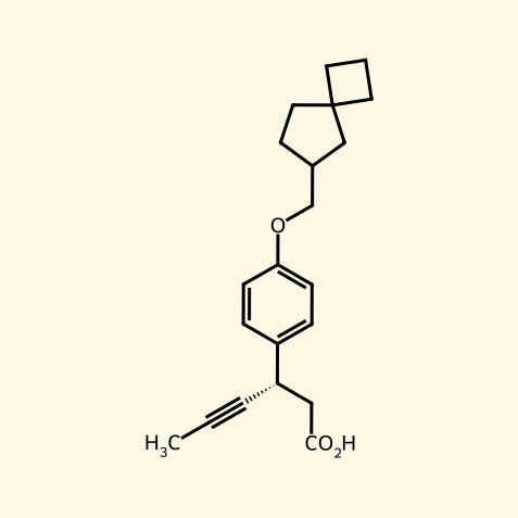 CC#C[C@@H](CC(=O)O)c1ccc(OCC2CCC3(CCC3)C2)cc1